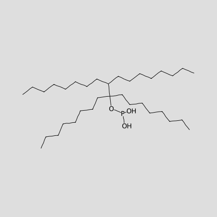 CCCCCCCCC(CCCCCCCC)C(CCCCCCCC)(CCCCCCCC)OP(O)O